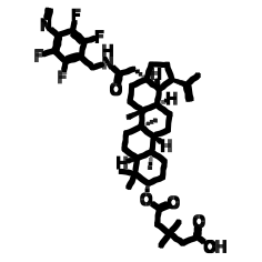 C=Nc1c(F)c(F)c(CNC(=O)C[C@]23CC[C@@H](C(=C)C)[C@@H]2[C@H]2CC[C@@H]4[C@@]5(C)CC[C@H](OC(=O)CC(C)(C)CC(=O)O)C(C)(C)[C@@H]5CC[C@@]4(C)[C@]2(C)CC3)c(F)c1F